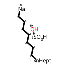 CCCCCCCCCCCCC[CH2][Na].O=S(=O)(O)O